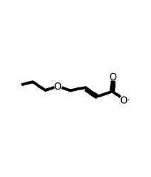 CCCOCC=CC([O])=O